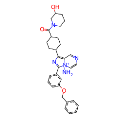 N[N+]12C=CN=CC1=C(C1CCC(C(=O)N3CCCC(O)C3)CC1)N=C2c1cccc(OCc2ccccc2)c1